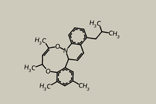 C/C1=C/C(C)Oc2c(C)cc(C)cc2C2C=Cc3c(CC(C)C)cccc3N2O1